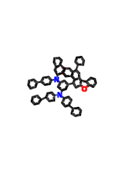 c1ccc(-c2ccc(N(c3ccc(-c4ccccc4)cc3)c3cc(-c4cc5oc6ccccc6c5c5cc(-c6ccccc6)c6ccccc6c45)cc(N(c4ccc(-c5ccccc5)cc4)c4ccc5ccccc5c4)c3)cc2)cc1